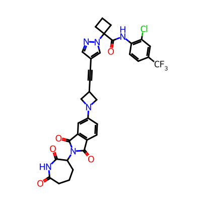 O=C1CCCC(N2C(=O)c3ccc(N4CC(C#Cc5cnn(C6(C(=O)Nc7ccc(C(F)(F)F)cc7Cl)CCC6)c5)C4)cc3C2=O)C(=O)N1